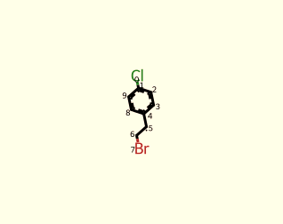 Clc1ccc([CH]CBr)cc1